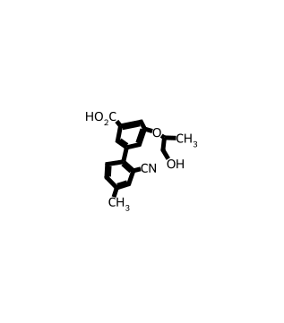 Cc1ccc(-c2cc(OC(C)CO)cc(C(=O)O)c2)c(C#N)c1